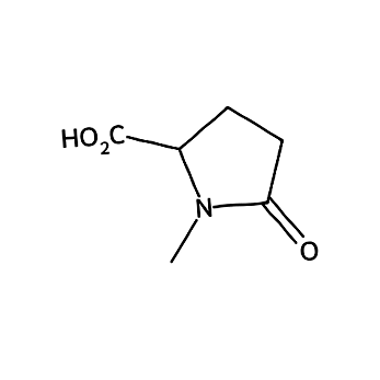 CN1C(=O)CCC1C(=O)O